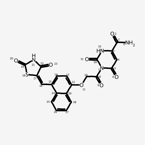 NC(=O)c1cc(=O)n(C(=O)COc2ccc(C=C3SC(=O)NC3=O)c3ccccc23)c(=O)[nH]1